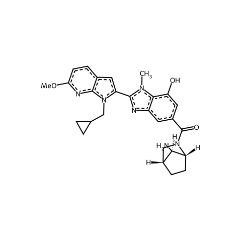 COc1ccc2cc(-c3nc4cc(C(=O)N5C[C@H]6CC[C@@H]5[C@@H]6N)cc(O)c4n3C)n(CC3CC3)c2n1